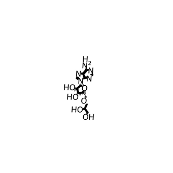 Nc1ncnc2c1ncn2[C@@H]1O[C@H](COCC(O)CO)[C@@H](O)[C@H]1O